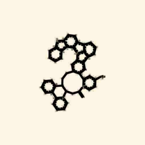 C=C1CC2C(CCc3cc4c(cc3-c3cc(C(C)(C)C)cc[n+]31)c1cccc3c5ccc6oc7ccccc7c6c5n4c13)c1ccccc1-c1cccc[n+]12